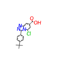 CC(C)(C)c1ccc(-c2nnc3cc(C(=O)O)cc(Cl)n23)cc1